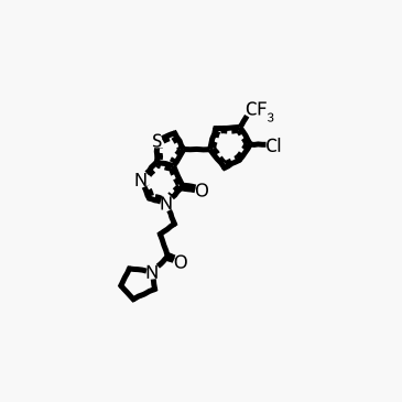 O=C(CCn1cnc2scc(-c3ccc(Cl)c(C(F)(F)F)c3)c2c1=O)N1CCCC1